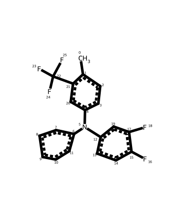 Cc1ccc(N(c2ccccc2)c2ccc(F)c(F)c2)cc1C(F)(F)F